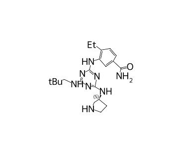 CCc1ccc(C(N)=O)cc1Nc1nc(NCC(C)(C)C)nc(N[C@H]2CCNC2)n1